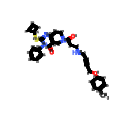 O=C(CCNCC#CCOc1ccc(C(F)(F)F)cc1)N1CCc2nc(SC3CCC3)n(-c3ccccc3)c(=O)c2C1